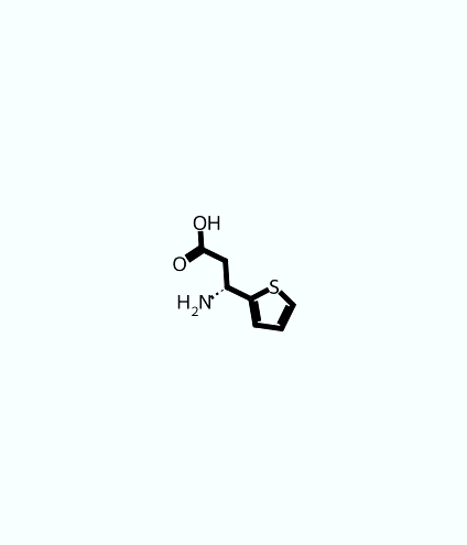 N[C@H](CC(=O)O)c1cccs1